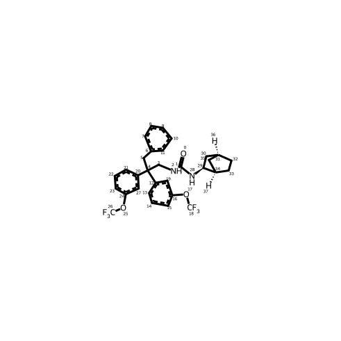 O=C(NCC(Cc1ccccc1)(c1cccc(OC(F)(F)F)c1)c1cccc(OC(F)(F)F)c1)N[C@H]1C[C@H]2CC[C@@H]1C2